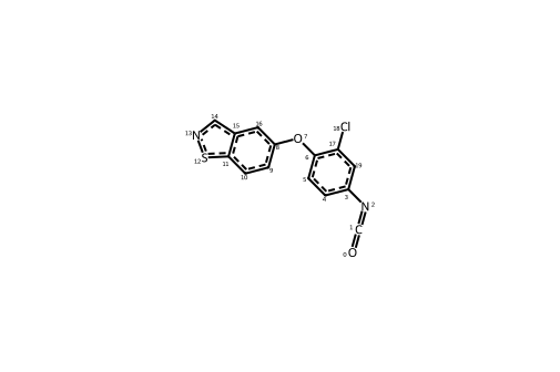 O=C=Nc1ccc(Oc2ccc3sncc3c2)c(Cl)c1